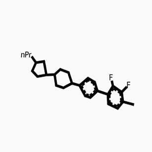 CCCC1CCC(C2CCC(c3ccc(-c4ccc(C)c(F)c4F)cc3)CC2)C1